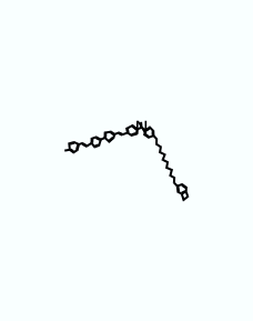 Cc1ccc(/C=C/c2ccc(-c3ccc(/C=C/c4ccc(N(C)c5ccc(CCCCCCCCCCCCc6ccc7c(c6)CC7)cc5)cc4)cc3)cc2)cc1